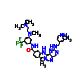 C/C=C(\C=C/N)CNc1ncc2ncnc(Nc3cc(C(=O)Nc4cc(N(C)CCN(C)C)cc(C(F)(F)F)c4)ccc3C)c2n1